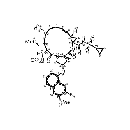 COC[C@@H]1C[C@H](C)CCC=C[C@@H]2C[C@@]2(C(=O)NS(=O)(=O)C2CC2)NC(=O)[C@@H]2C[C@@H](Oc3cccc4cc(OC)c(F)cc34)CN2C(=O)[C@H]1NC(=O)O